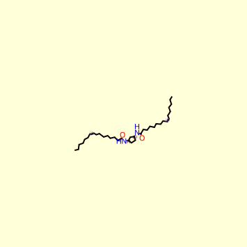 CCCCCC/C=C\CCCCCCCC(=O)N[C@@H]1CC[C@H](NC(=O)CCCCCCC/C=C\CCCCCC)C1